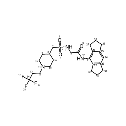 O=C(CNS(=O)(=O)CC1CCN(CCC(F)(F)F)CC1)Nc1c2c(cc3c1CCC3)CCC2